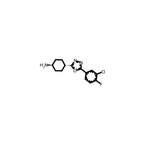 N[C@H]1CC[C@H](c2nnc(-c3ccc(F)c(Cl)c3)o2)CC1